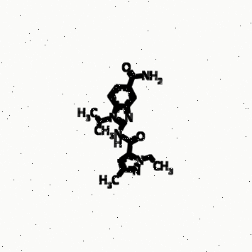 CCn1nc(C)cc1C(=O)Nc1nc2cc(C(N)=O)ccc2n1C(C)C